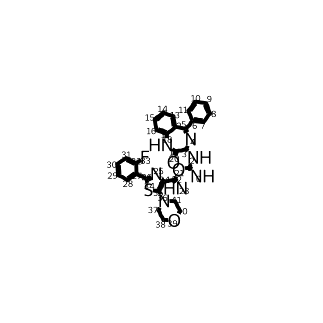 N=C(NC1N=C(c2ccccc2)c2ccccc2NC1=O)OC(=N)c1nc(-c2ccccc2F)sc1N1CCOCC1